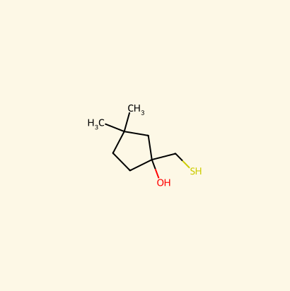 CC1(C)CCC(O)(CS)C1